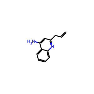 C=CCc1cc(N)c2ccccc2n1